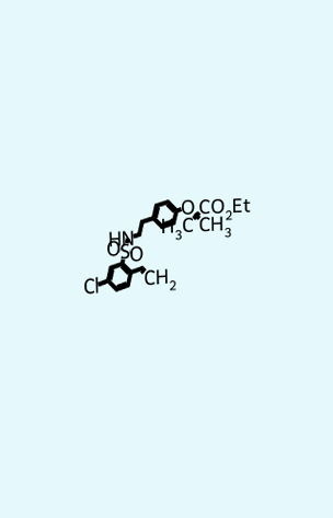 C=Cc1ccc(Cl)cc1S(=O)(=O)NCCc1ccc(OC(C)(C)C(=O)OCC)cc1